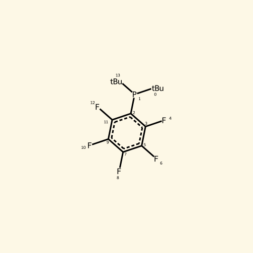 CC(C)(C)P(c1c(F)c(F)c(F)c(F)c1F)C(C)(C)C